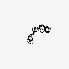 O=C(/C=C\c1cccnc1)NCCCCN1CCC2(CC1)OCCO2